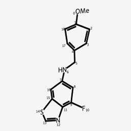 COc1ccc(CNc2cc(F)c3ncsc3c2)cc1